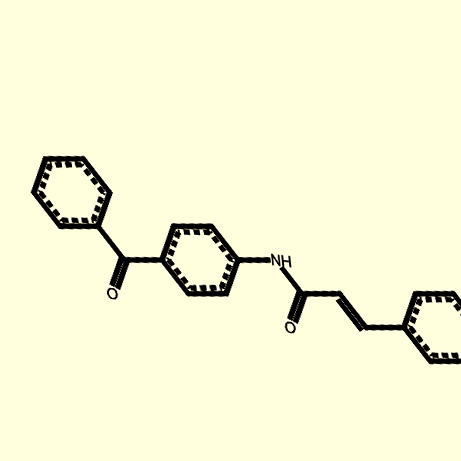 O=C(/C=C/c1ccccc1)Nc1ccc(C(=O)c2ccccc2)cc1